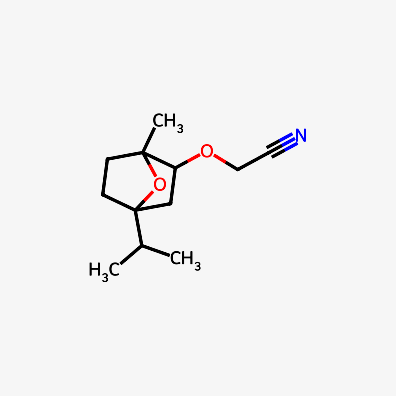 CC(C)C12CCC(C)(O1)C(OCC#N)C2